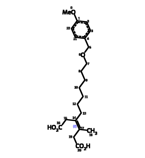 COc1ccc(COCCCCCCC/C(CC(=O)O)=C(\C)CC(=O)O)cc1